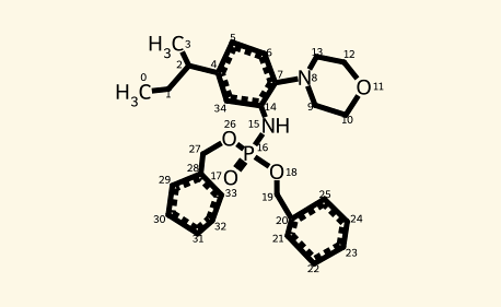 CCC(C)c1ccc(N2CCOCC2)c(NP(=O)(OCc2ccccc2)OCc2ccccc2)c1